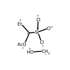 CCC(OC(C)=O)[Si](Cl)(Cl)Cl.CO